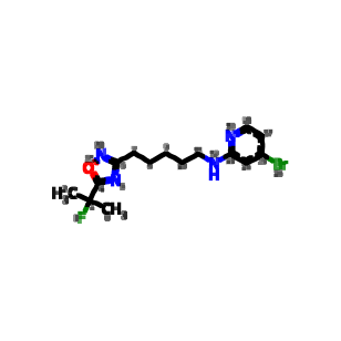 CC(C)(F)c1nc(CCCCCNc2cc(Br)ccn2)no1